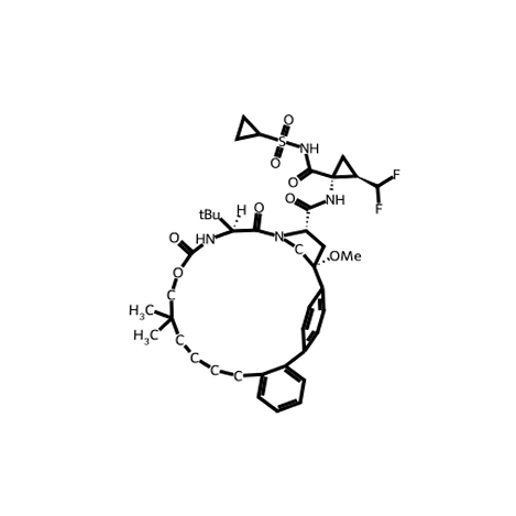 CO[C@@]12C[C@@H](C(=O)N[C@]3(C(=O)NS(=O)(=O)C4CC4)C[C@H]3C(F)F)N(C1)C(=O)[C@H](C(C)(C)C)NC(=O)OCC(C)(C)CCCCc1ccccc1-c1ccc2cc1